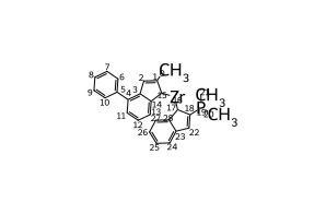 CC1=Cc2c(-c3ccccc3)cccc2[CH]1[Zr][CH]1C(P(C)C)=Cc2ccccc21